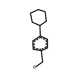 ClCc1ccc(C2CCCCC2)cc1